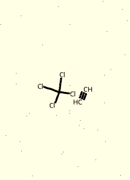 C#C.ClC(Cl)(Cl)Cl